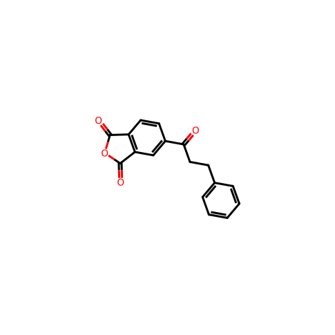 O=C(CCc1ccccc1)c1ccc2c(c1)C(=O)OC2=O